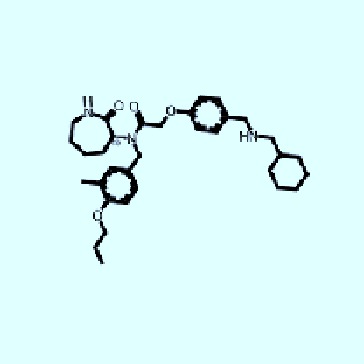 CCCOc1ccc(CN(C(=O)COc2ccc(CNCC3CCCCC3)cc2)[C@H]2CCCCNC2=O)cc1C